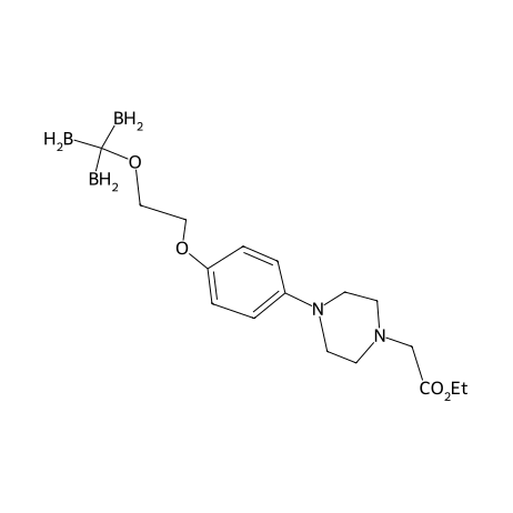 BC(B)(B)OCCOc1ccc(N2CCN(CC(=O)OCC)CC2)cc1